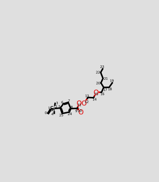 C=C[Si](C)(C)c1ccc(C(=O)OO[CH]COCC(CC)CCCC)cc1